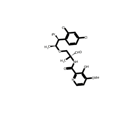 COc1ccnc(C(=O)N[C@](C)(C=O)CO[C@@H](C)[C@H](c2ccc(Cl)cc2Cl)C(C)C)c1O